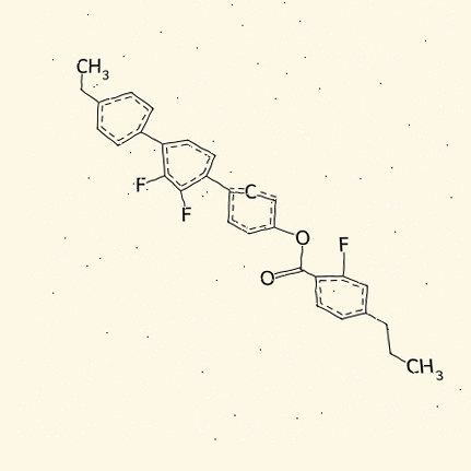 CCCc1ccc(C(=O)Oc2ccc(-c3ccc(-c4ccc(CC)cc4)c(F)c3F)cc2)c(F)c1